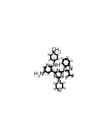 CN1CCC(Nc2ncc(N)cc2-c2nc(N3CCOCC3)nc(-n3c(C(F)F)nc4ccccc43)n2)CC1